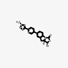 CC[C@@H]1OC(=O)N2c3ccc(-c4ccc(-c5nnn(C)n5)nc4)cc3C[C@@H]12